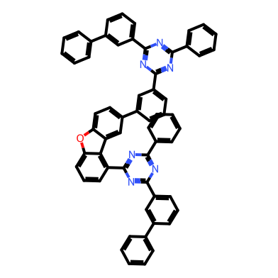 c1ccc(-c2cccc(-c3nc(-c4ccccc4)nc(-c4cccc(-c5ccc6oc7cccc(-c8nc(-c9ccccc9)nc(-c9cccc(-c%10ccccc%10)c9)n8)c7c6c5)c4)n3)c2)cc1